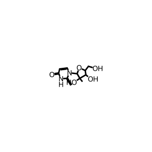 C=C1NC(=O)C=CN1C1OC(CO)C(O)C1(C)O